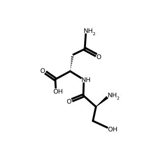 NC(=O)C[C@H](NC(=O)[C@@H](N)CO)C(=O)O